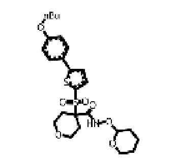 CCCCOc1ccc(-c2ccc(S(=O)(=O)C3(C(=O)NOC4CCCCO4)CCOCC3)s2)cc1